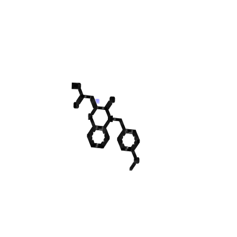 COc1ccc(CN2C(=O)/C(=C/C(=O)O)Sc3ccccc32)cc1